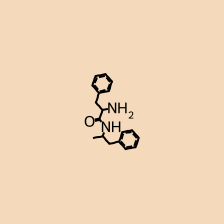 CC(Cc1ccccc1)NC(=O)C(N)Cc1ccccc1